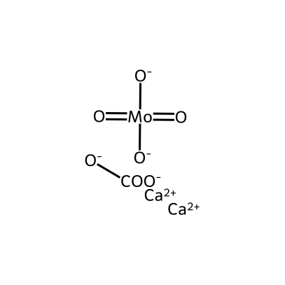 O=C([O-])[O-].[Ca+2].[Ca+2].[O]=[Mo](=[O])([O-])[O-]